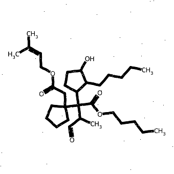 CCCCCOC(=O)C(C(C)C=O)(C1CCC(O)C1CCCCC)C1(CC(=O)OCC=C(C)C)CCCC1